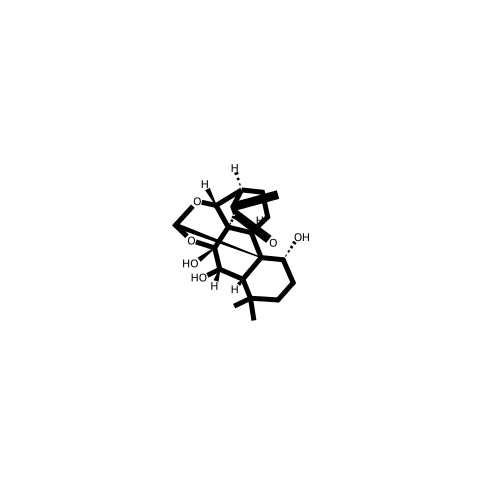 C=C1C(=O)[C@@]23[C@@H]4OC5O[C@@]2(O)[C@@H](O)[C@@H]2C(C)(C)CC[C@@H](O)[C@]52[C@@H]3CC[C@@H]14